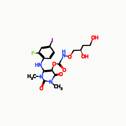 Cn1c(Nc2ccc(I)cc2F)c(OC(=O)NOC[C@@H](O)CCO)c(=O)n(C)c1=O